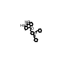 O=C1c2c(O)cccc2C(C(=O)Cc2ccc(OCc3ccccc3)c(OCc3ccccc3)c2)c2cccc(O)c21